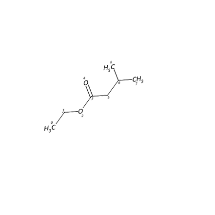 C[CH]OC(=O)CC(C)C